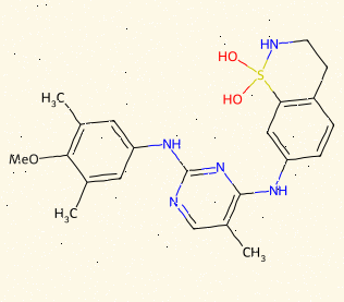 COc1c(C)cc(Nc2ncc(C)c(Nc3ccc4c(c3)S(O)(O)NCC4)n2)cc1C